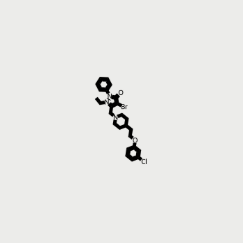 CCn1c(CN2CCC(CCOc3cccc(Cl)c3)CC2)c(Br)c(=O)n1-c1ccccc1